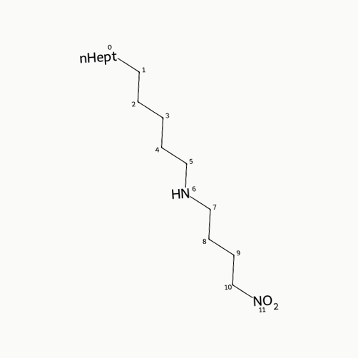 CCCCCCCCCCCCNCCCC[N+](=O)[O-]